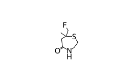 CC1(CF)CC(=O)NCCS1